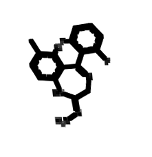 Cc1ccc2c(c1Cl)C(c1c(F)cccc1F)=NCC(=NN)N2